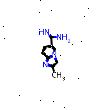 Cc1cn2cc(C(=N)N)ccc2n1